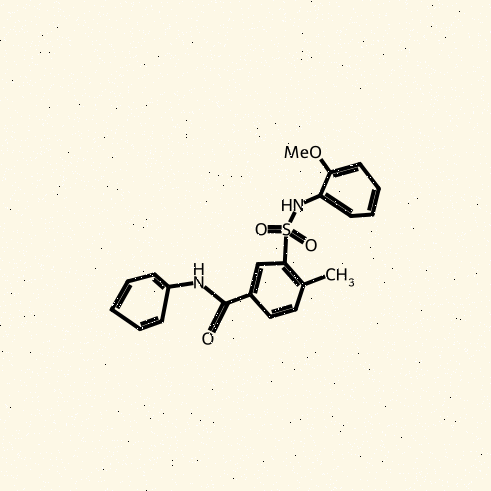 COc1ccccc1NS(=O)(=O)c1cc(C(=O)Nc2ccccc2)ccc1C